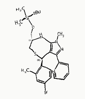 Cc1cc(Br)ccc1[C@H]1SC[C@H](CO[Si](C)(C)C(C)(C)C)Nc2c1c(-c1ccccn1)nn2C